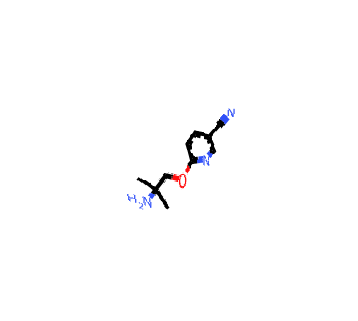 CC(C)(N)COc1ccc(C#N)cn1